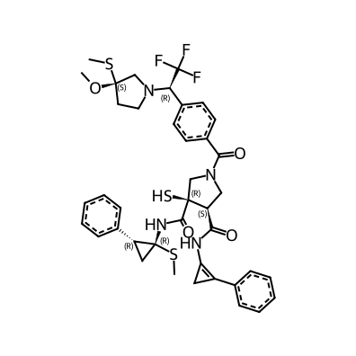 CO[C@]1(SC)CCN([C@H](c2ccc(C(=O)N3C[C@@H](C(=O)NC4=C(c5ccccc5)C4)[C@](S)(C(=O)N[C@@]4(SC)C[C@@H]4c4ccccc4)C3)cc2)C(F)(F)F)C1